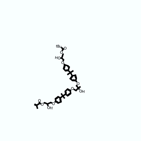 C=C(C)C(=O)OCC(O)COc1ccc(C(C)(C)c2ccc(OCC(C)(O)COc3ccc(C(C)(C)c4ccc(OCC(O)COC(=O)C(C)(C)C)cc4)cc3)cc2)cc1